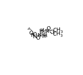 Cc1ccc(C(=O)N2C[C@@H]3[C@H](C2)[C@H]2CN(C(=O)c4ccc(OCC5CC5)nn4)C[C@@H]32)cc1C